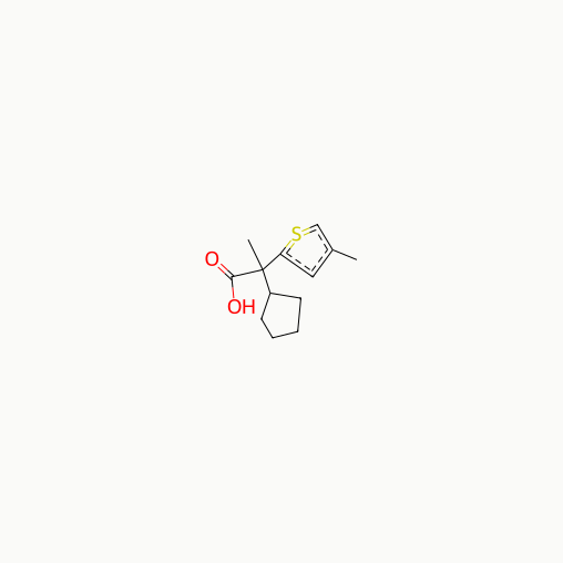 Cc1csc(C(C)(C(=O)O)C2CCCC2)c1